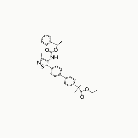 CCOC(=O)C(C)(C)c1ccc(-c2ccc(-c3snc(C)c3NC(=O)O[C@H](C)c3ccccc3)cc2)cc1